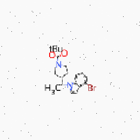 CC(C1CCN(C(=O)OC(C)(C)C)CC1)n1ccc2c(Br)cccc21